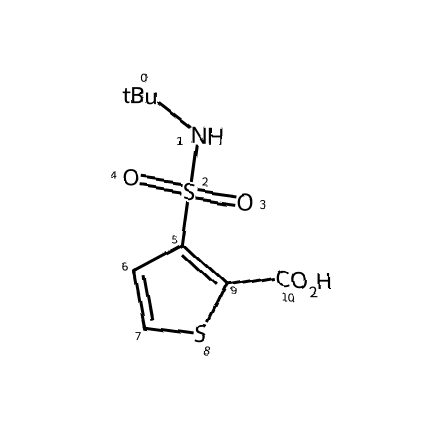 CC(C)(C)NS(=O)(=O)c1ccsc1C(=O)O